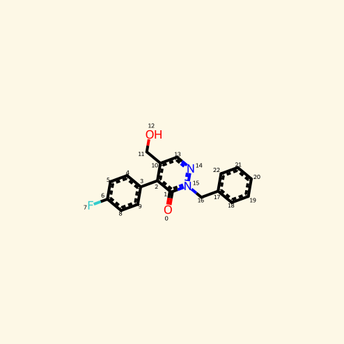 O=c1c(-c2ccc(F)cc2)c(CO)cnn1Cc1ccccc1